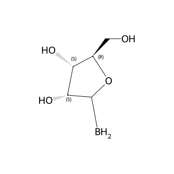 BC1O[C@H](CO)[C@@H](O)[C@H]1O